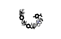 Cc1ccc(C(C)C)c(N2CCS/C2=N\C(=O)NCC(C)(C)Cc2ccc(-c3ncn(-c4ccc(OC(F)(F)F)cc4)n3)cc2)c1